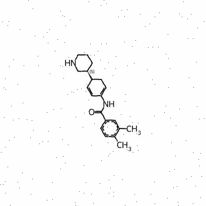 Cc1ccc(C(=O)NC2=CCC([C@@H]3CCCNC3)C=C2)cc1C